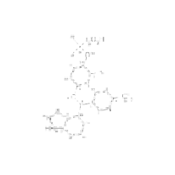 Cc1cc(OC(c2ccc(C(F)(F)F)cc2)c2cccc3[nH]ncc23)ccc1OC(C)(C)C(=O)O